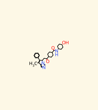 CC1=C(c2ccccc2)C(CC(=O)C2CCC(C(=O)NC3CCC(O)CC3)CC2)n2cncc21